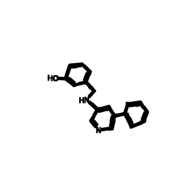 Oc1cccc(CNc2cncc(-c3ccccc3)c2)c1